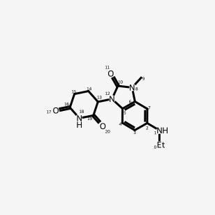 CCNc1ccc2c(c1)n(C)c(=O)n2C1CCC(=O)NC1=O